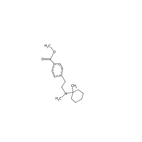 COC(=O)c1ccc(CCN(C)C2(C)CCCCC2)cc1